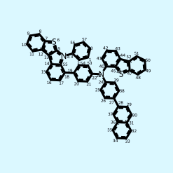 c1ccc(-n2c3sc4ccccc4c3c3cccc(-c4ccc(N(c5ccc(-c6ccc7ccccc7c6)cc5)c5cccc6c5sc5ccccc56)cc4)c32)cc1